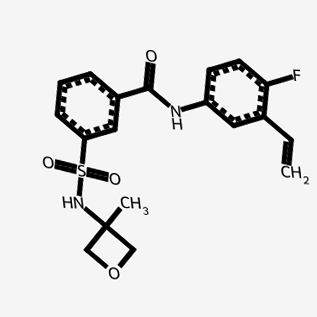 C=Cc1cc(NC(=O)c2cccc(S(=O)(=O)NC3(C)COC3)c2)ccc1F